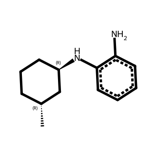 C[C@@H]1CCC[C@@H](Nc2ccccc2N)C1